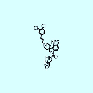 O=C(NCc1cocn1)N1CC2(CCN(CC=Cc3ccc(Cl)c(Cl)c3)CC2)c2c1ccc1scnc21